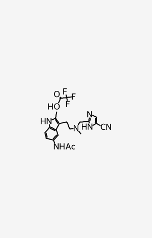 CC(=O)Nc1ccc2[nH]c(C)c(CCN(C)Cc3ncc(C#N)[nH]3)c2c1.O=C(O)C(F)(F)F